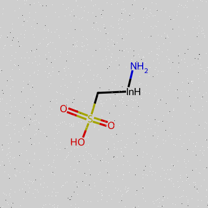 [NH2][InH][CH2]S(=O)(=O)O